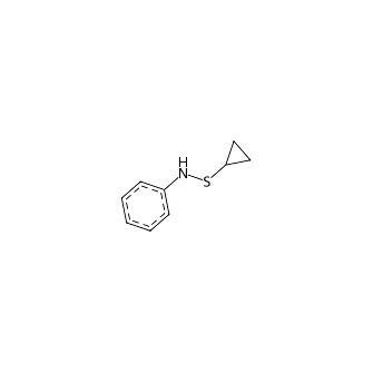 c1ccc(NSC2CC2)cc1